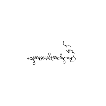 CCN1CC[15N](CC2CCC[15N]2C[13C](=O)N[13CH2][13CH2][13CH2][13C](=O)[15NH][13CH2][13CH2][13CH2][13C](=O)O)CC1